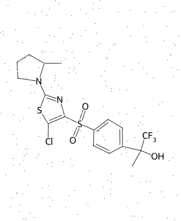 CC1CCCN1c1nc(S(=O)(=O)c2ccc(C(C)(O)C(F)(F)F)cc2)c(Cl)s1